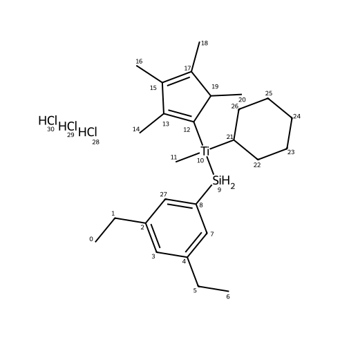 CCc1cc(CC)cc([SiH2][Ti]([CH3])([C]2=C(C)C(C)=C(C)C2C)[CH]2CCCCC2)c1.Cl.Cl.Cl